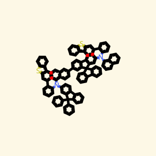 c1ccc(C2(c3ccccc3)c3ccccc3-c3ccc(N(c4ccccc4-c4ccc5c(c4)sc4ccccc45)c4cccc5cc(-c6ccc7c(c6)C6(c8ccccc8-c8ccccc86)c6cc(N(c8ccccc8-c8ccc9c(c8)sc8ccccc89)c8cccc9ccccc89)ccc6-7)ccc45)cc32)cc1